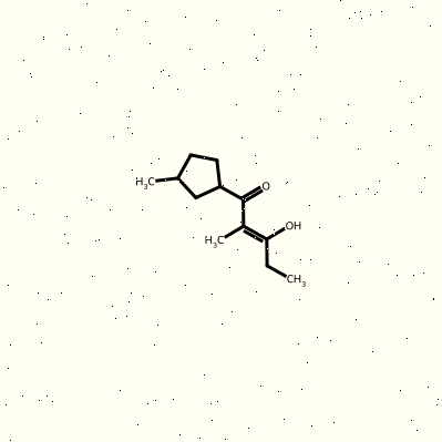 CC/C(O)=C(\C)C(=O)C1CCC(C)C1